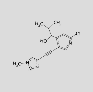 CC(C)C(O)c1cc(Cl)ncc1C#Cc1cnn(C)c1